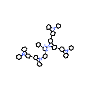 c1ccc(-c2cc(-c3cccc(-n4c5ccccc5c5cc(-c6ccc7c(c6)c6ccccc6n7-c6ccccc6)ccc54)c3)nc(-n3c4ccc(-c5ccc6c(c5)c5ccccc5n6-c5ccccc5)cc4c4cc(-c5ccc6c(c5)c5ccccc5n6-c5ccccc5)ccc43)n2)cc1